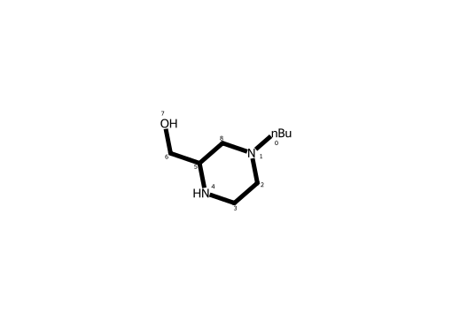 CCCCN1CCNC(CO)C1